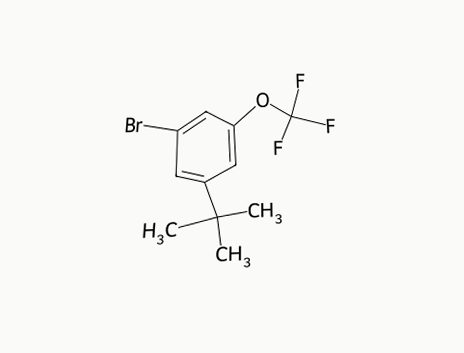 CC(C)(C)c1cc(Br)cc(OC(F)(F)F)c1